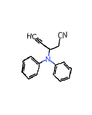 C#CC(CC#N)N(c1ccccc1)c1ccccc1